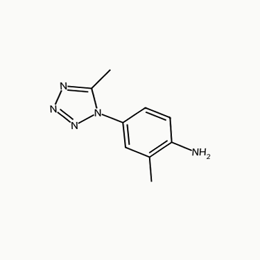 Cc1cc(-n2nnnc2C)ccc1N